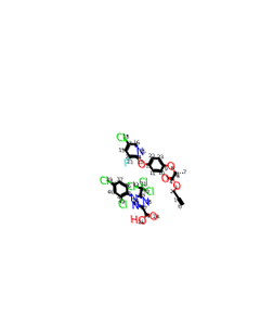 C#CCOC(=O)[C@@H](C)Oc1ccc(Oc2ncc(Cl)cc2F)cc1.O=C(O)c1nc(C(Cl)(Cl)Cl)n(-c2ccc(Cl)cc2Cl)n1